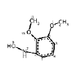 COc1cccc(NO)c1OC